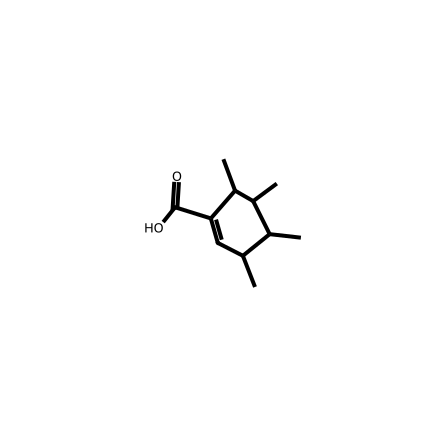 CC1C=C(C(=O)O)C(C)C(C)C1C